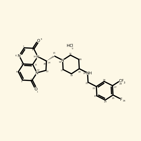 Cl.O=c1ccc2ncc(=O)n3c2n1C[C@H]3CN1CCC(NCc2ccc(F)c(C(F)(F)F)c2)CC1